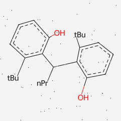 CCCC(c1c(O)cccc1C(C)(C)C)c1c(O)cccc1C(C)(C)C